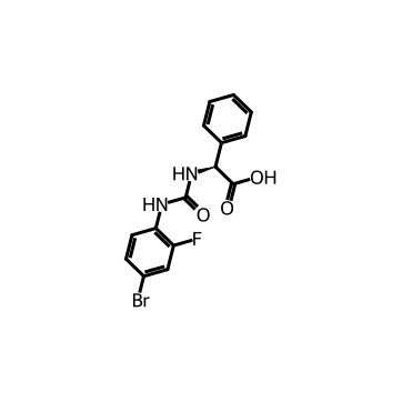 O=C(Nc1ccc(Br)cc1F)N[C@H](C(=O)O)c1ccccc1